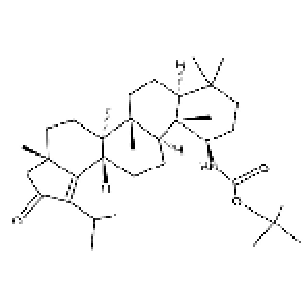 CC(C)C1=C2[C@H]3CC[C@@H]4[C@@]5(C)[C@H](NC(=O)OC(C)(C)C)CCC(C)(C)[C@@H]5CC[C@@]4(C)[C@]3(C)CC[C@@]2(C)CC1=O